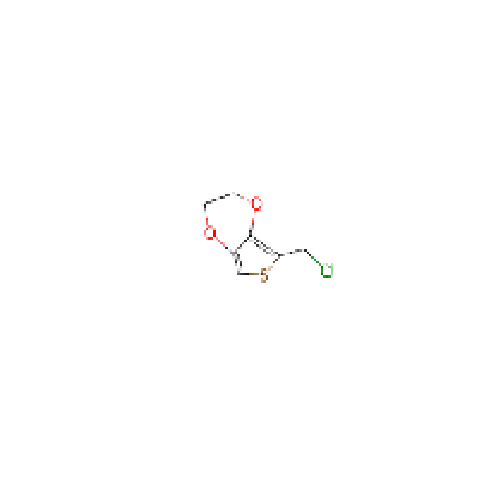 ClCc1scc2c1OCCO2